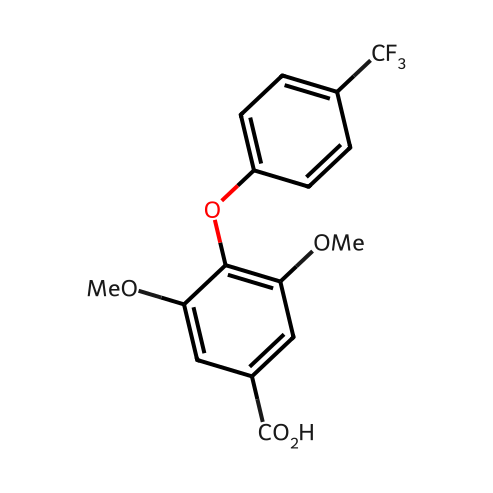 COc1cc(C(=O)O)cc(OC)c1Oc1ccc(C(F)(F)F)cc1